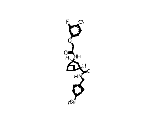 CC(C)(C)c1ccc(CNC(=O)[C@@H]2C[C@H](NC(=O)COc3ccc(Cl)c(F)c3)C3CC2C3)cc1